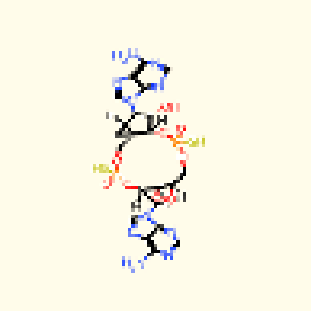 Nc1ncnc2c1ncn2[C@H]1[C@H](O)[C@@H]2O[P@@](=O)(S)OC[C@H]3O[C@@H](n4cnc5c(N)ncnc54)[C@H](O[P@@](=O)(S)OC[C@]24C[C@H]14)[C@@H]3O